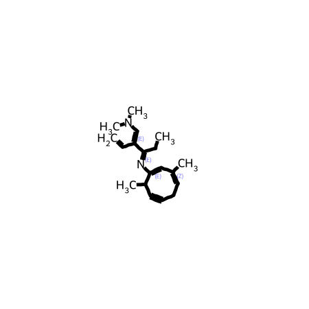 C=CC(=C\N(C)C)/C(CC)=N/C1=C/C(C)=C\CC#CC1C